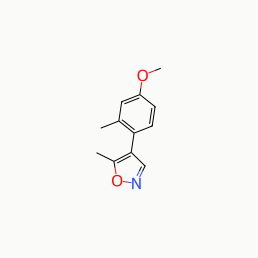 COc1ccc(-c2cnoc2C)c(C)c1